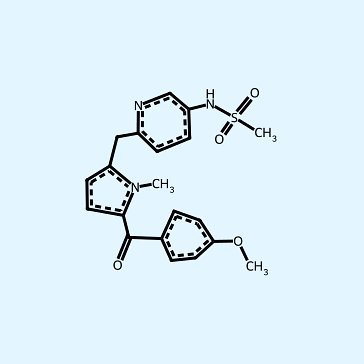 COc1ccc(C(=O)c2ccc(Cc3ccc(NS(C)(=O)=O)cn3)n2C)cc1